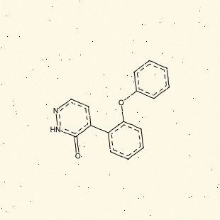 O=c1[nH]nccc1-c1ccccc1Oc1ccccc1